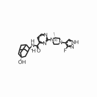 C[C@@H]1CN(c2c[nH]nc2F)CCN1c1nccc(C(=O)N[C@H]2C3CC4CC2C[C@](O)(C4)C3)n1